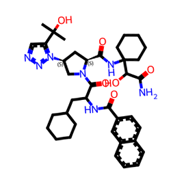 CC(C)(O)c1cnnn1[C@H]1C[C@@H](C(=O)NC2(C(O)C(N)=O)CCCCC2)N(C(=O)C(CC2CCCCC2)NC(=O)c2ccc3ccccc3c2)C1